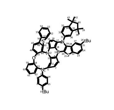 CC(C)(C)c1ccc(N2c3ccc4c(c3)N(c3cccc5c3B4c3sc4ccc(C(C)(C)C)cc4c3N5c3ccc4c(c3)C(C)(C)CC4(C)C)c3c(ccc4c3sc3ccccc34)Oc3ccccc32)cc1